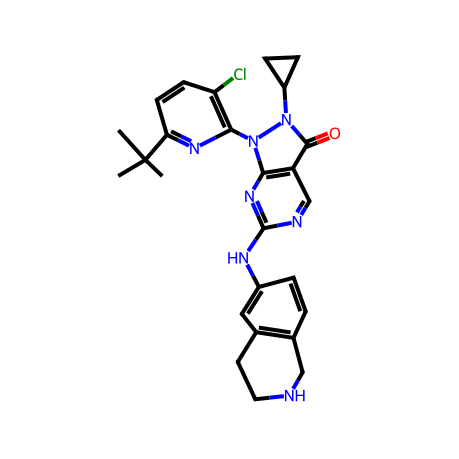 CC(C)(C)c1ccc(Cl)c(-n2c3nc(Nc4ccc5c(c4)CCNC5)ncc3c(=O)n2C2CC2)n1